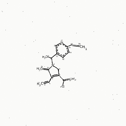 C=CC1=C(C(=C)Cl)CN(C(C)c2ccc(C=C)nc2)C1=C